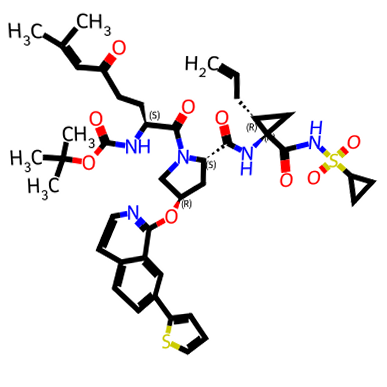 C=CC[C@@H]1C[C@]1(NC(=O)[C@@H]1C[C@@H](Oc2nccc3ccc(-c4cccs4)cc23)CN1C(=O)[C@H](CCC(=O)C=C(C)C)NC(=O)OC(C)(C)C)C(=O)NS(=O)(=O)C1CC1